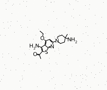 CCOc1cc(N2CCC(C)(N)CC2)nc2sc(C(C)=O)c(N)c12